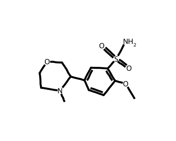 COc1ccc(C2COCCN2C)cc1S(N)(=O)=O